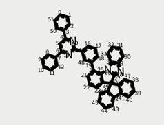 c1ccc(-c2cc(-c3ccccc3)nc(-c3cccc(-c4cccc5c4-n4c(nc6ccccc64)C54c5ccccc5-c5ccccc54)c3)n2)cc1